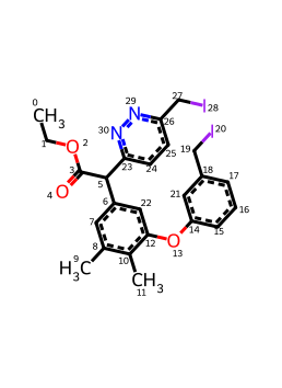 CCOC(=O)C(c1cc(C)c(C)c(Oc2cccc(CI)c2)c1)c1ccc(CI)nn1